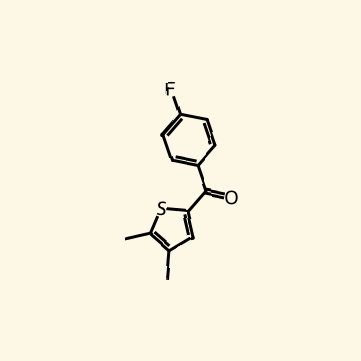 Cc1cc(C(=O)c2ccc(F)cc2)sc1C